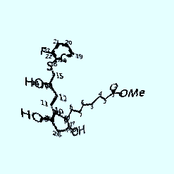 COC(=O)CCCCCC[C@@H]1[C@@H](CC[C@@H](O)CSc2ccccc2F)[C@H](O)C[C@@H]1O